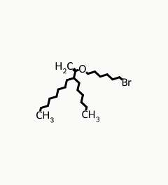 C=C(OCCCCCCBr)C(CCCCCC)CCCCCCCC